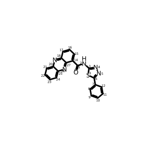 O=C(Nc1nnc(-c2ccccc2)s1)c1cccc2nc3ccccc3nc12